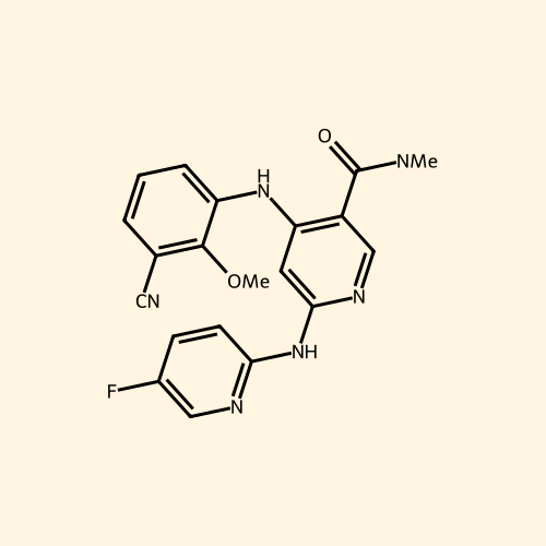 CNC(=O)c1cnc(Nc2ccc(F)cn2)cc1Nc1cccc(C#N)c1OC